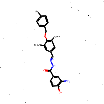 COc1cc(/C=N/NC(=O)c2ccc(O)c(N)c2)cc(OC)c1OCc1ccc(C(C)C)cc1